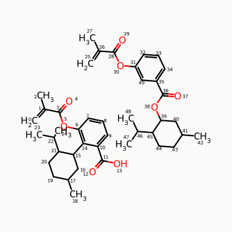 C=C(C)C(=O)Oc1cccc(C(=O)O)c1C1CC(C)CCC1C(C)C.C=C(C)C(=O)Oc1cccc(C(=O)OC2CC(C)CCC2C(C)C)c1